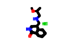 COC(C)CNCc1c[nH]c(=O)c2ccccc12.Cl